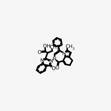 CCC(C(=O)O)c1nc2ccccc2c(=O)n1N1C=C(c2ccccc2)n2c(C)cc3c2C(=CCC3)C1=O